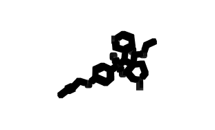 CC#CCOc1ccc(S(=O)(=O)C(c2cccnc2)C2(C(=O)OCC)CCNCC2)cc1